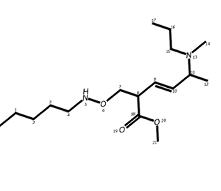 CCCCCNOCC(C=CC(C)N(C)CCC)C(=O)OC